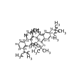 Cc1c2c(c(CC(C)(C)C)c3ccc(CC(C)(C)C)cc13)Oc1cc3c(C(C)C)cccc3c3nc[n+](C)c-2c13